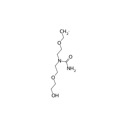 [CH2]COCCN(CCOCCO)C(N)=O